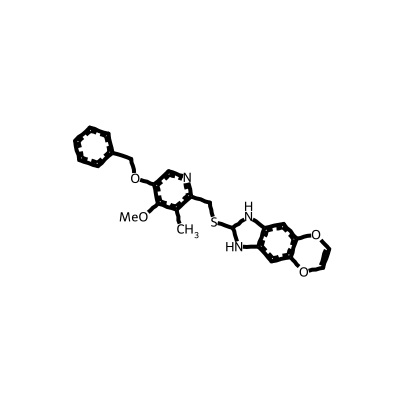 COc1c(OCc2ccccc2)cnc(CSC2Nc3cc4c(cc3N2)OC=CO4)c1C